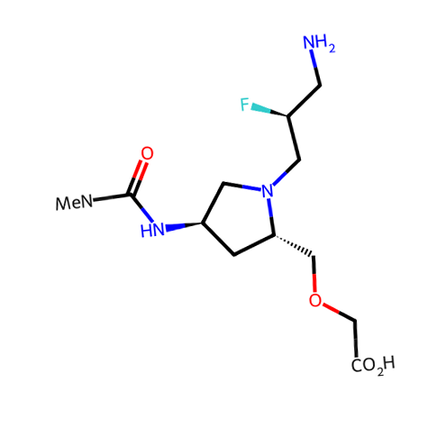 CNC(=O)N[C@@H]1C[C@@H](COCC(=O)O)N(C[C@@H](F)CN)C1